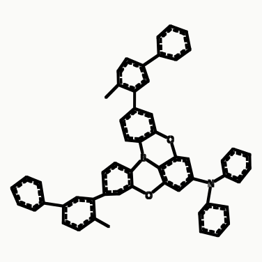 Cc1ccc(-c2ccccc2)cc1-c1ccc2c(c1)Oc1cc(N(c3ccccc3)c3ccccc3)cc3c1B2c1ccc(-c2cc(-c4ccccc4)ccc2C)cc1O3